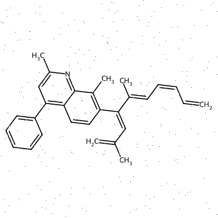 C=C\C=C/C=C(C)/C(=C/C(=C)C)c1ccc2c(-c3ccccc3)cc(C)nc2c1C